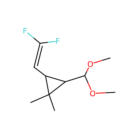 COC(OC)C1C(C=C(F)F)C1(C)C